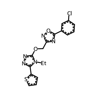 CCn1c(OCc2noc(-c3cccc(Cl)c3)n2)nnc1-c1cccs1